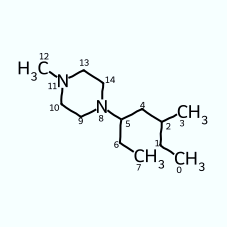 CCC(C)CC(CC)N1CCN(C)CC1